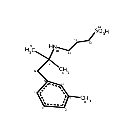 Cc1cccc(CC(C)(C)NCCCS(=O)(=O)O)c1